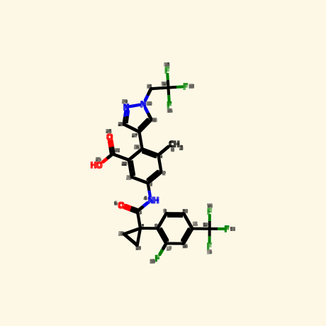 Cc1cc(NC(=O)C2(c3ccc(C(F)(F)F)cc3F)CC2)cc(C(=O)O)c1-c1cnn(CC(F)(F)F)c1